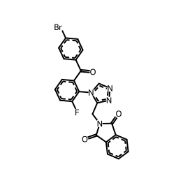 O=C(c1ccc(Br)cc1)c1cccc(F)c1-n1cnnc1CN1C(=O)c2ccccc2C1=O